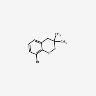 CC1(C)COc2c(Br)cccc2C1